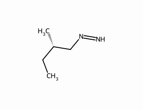 CC[C@H](C)CN=N